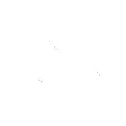 C#CC(C)(C)NC(=O)c1cc(C#N)ccc1NC1CCC1